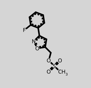 CS(=O)(=O)OCc1cc(-c2ccccc2F)no1